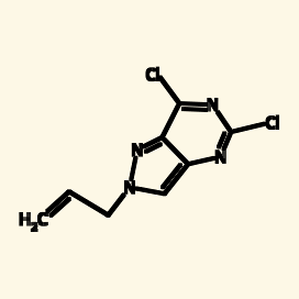 C=CCn1cc2nc(Cl)nc(Cl)c2n1